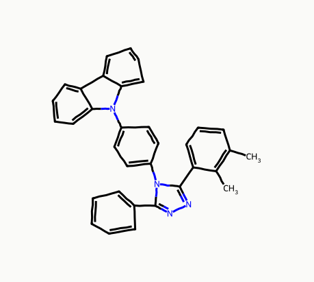 Cc1cccc(-c2nnc(-c3ccccc3)n2-c2ccc(-n3c4ccccc4c4ccccc43)cc2)c1C